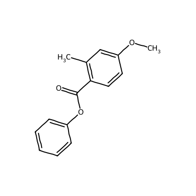 COc1ccc(C(=O)Oc2ccccc2)c(C)c1